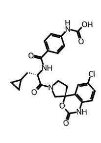 O=C(O)Nc1ccc(C(=O)N[C@@H](CC2CC2)C(=O)N2CC[C@]3(C2)OC(=O)Nc2ccc(Cl)cc23)cc1